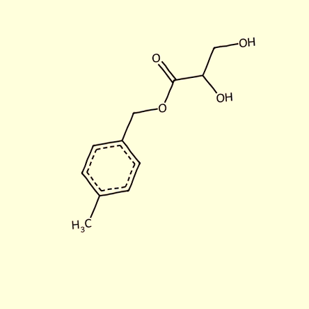 Cc1ccc(COC(=O)C(O)CO)cc1